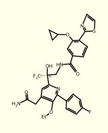 CCOc1c(CC(N)=O)cc([C@@](O)(CNC(=O)c2ccc(-c3nccs3)c(OC3CC3)c2)C(F)(F)F)nc1-c1ccc(F)cc1